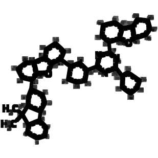 CC1(C)c2ccccc2-c2ccc(-c3cccc4c3oc3c(-c5cccc(-c6nc(-c7ccccc7)nc(-c7cccc8c7oc7ccccc78)n6)c5)cccc34)cc21